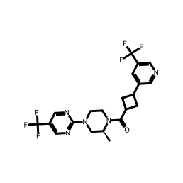 C[C@H]1CN(c2ncc(C(F)(F)F)cn2)CCN1C(=O)C1CC(c2cncc(C(F)(F)F)c2)C1